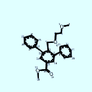 COCCOCc1c(-c2ccccc2)cc(C(=O)OC)cc1-c1ccccc1